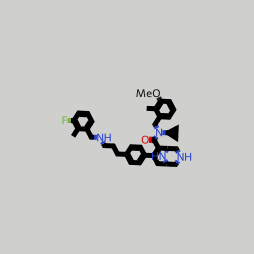 COc1cccc(CN(C(=O)C2=C(c3ccc(CCCNCc4cccc(F)c4C)cc3)CC3CNCC2N3)C2CC2)c1C